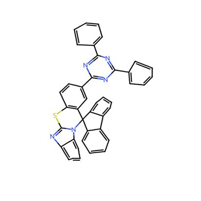 c1ccc(-c2nc(-c3ccccc3)nc(-c3ccc4c(c3)C3(c5ccccc5-c5ccccc53)n3c(nc5ccccc53)S4)n2)cc1